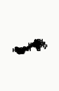 Cc1sc2c(c1C)C(C1C=CC(Cl)=CC1)=N[C@@H](OC(=O)NCCCCCCCCNC(=O)COc1cccc3c1C(=O)N(C1CCC(=O)NC1=O)C3=O)c1nnc(C)n1-2